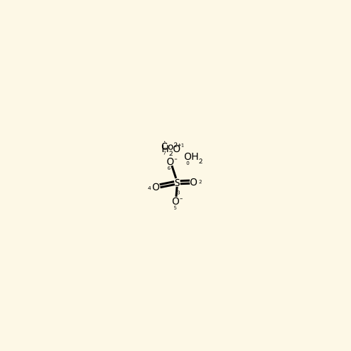 O.O.O=S(=O)([O-])[O-].[Co+2]